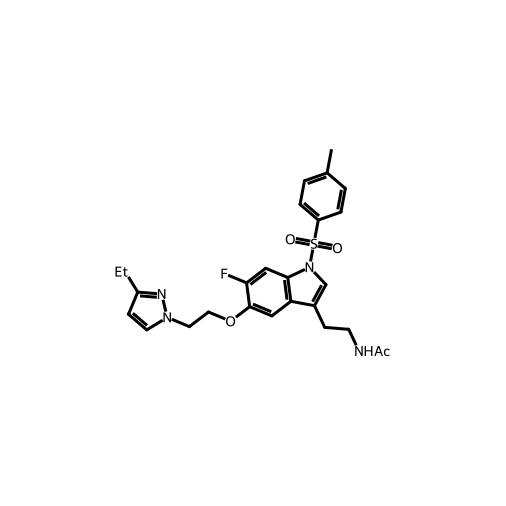 CCc1ccn(CCOc2cc3c(CCNC(C)=O)cn(S(=O)(=O)c4ccc(C)cc4)c3cc2F)n1